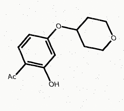 CC(=O)c1ccc(OC2CCOCC2)cc1O